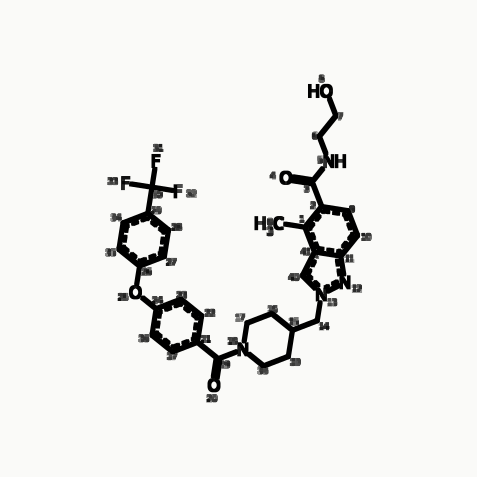 Cc1c(C(=O)NCCO)ccc2nn(CC3CCN(C(=O)c4ccc(Oc5ccc(C(F)(F)F)cc5)cc4)CC3)cc12